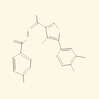 C/C(=N/NC(=O)c1ccc(C(=O)O)cc1)c1csc(-c2ccc(Cl)c(Cl)c2)c1O